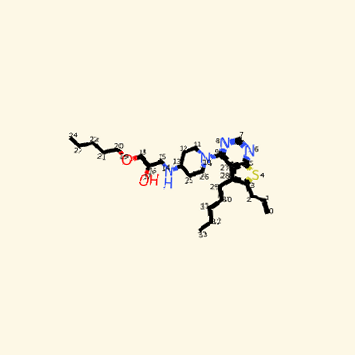 C=CCc1sc2ncnc(N3CCC(NCC(O)COCCCCC)CC3)c2c1CCCCC